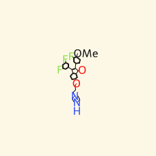 COc1ccc(C2=C(c3cc(F)cc(F)c3)c3ccc(OCCCN4CCNCC4)cc3C2=O)cc1F